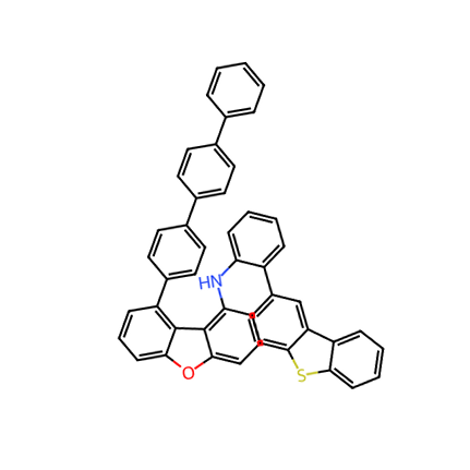 c1ccc(-c2ccc(-c3ccc(-c4cccc5oc6cccc(Nc7ccccc7-c7ccc8sc9ccccc9c8c7)c6c45)cc3)cc2)cc1